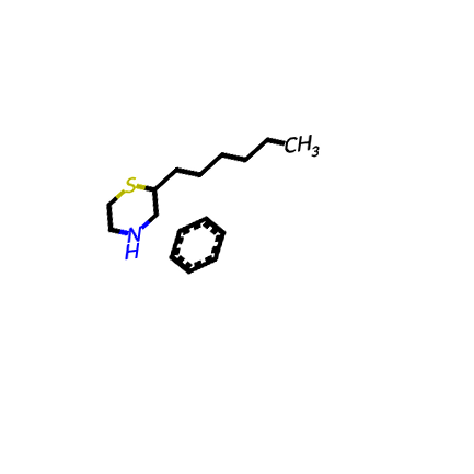 CCCCCCC1CNCCS1.c1ccccc1